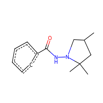 CC1CN(NC(=O)c2ccccc2)C(C)(C)C1